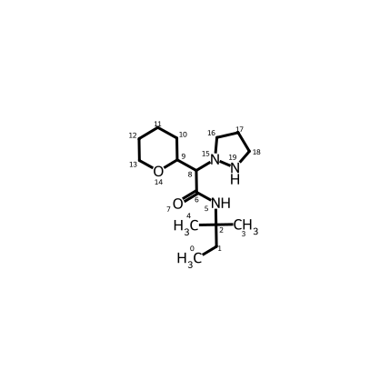 CCC(C)(C)NC(=O)C(C1CCCCO1)N1CCCN1